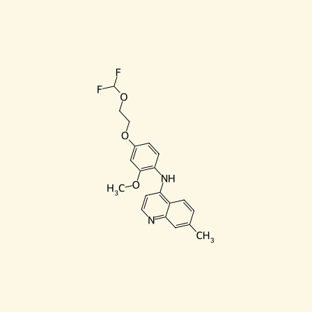 COc1cc(OCCOC(F)F)ccc1Nc1ccnc2cc(C)ccc12